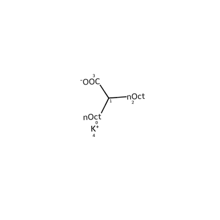 CCCCCCCCC(CCCCCCCC)C(=O)[O-].[K+]